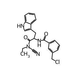 CCN(C#N)C(=O)C(Cc1c[nH]c2ccccc12)NC(=O)c1cccc(CCl)c1